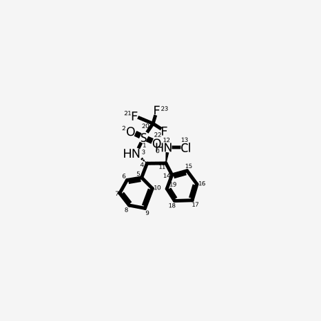 O=S(=O)(N[C@@H](c1ccccc1)[C@@H](NCl)c1ccccc1)C(F)(F)F